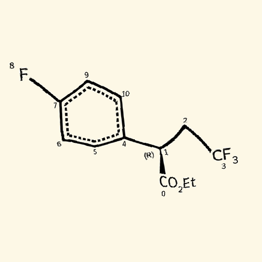 CCOC(=O)[C@H](CC(F)(F)F)c1ccc(F)cc1